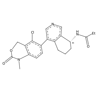 CCC(=O)N[C@@H]1CCCc2c(-c3ccc4c(c3Cl)COC(=O)N4C)cncc21